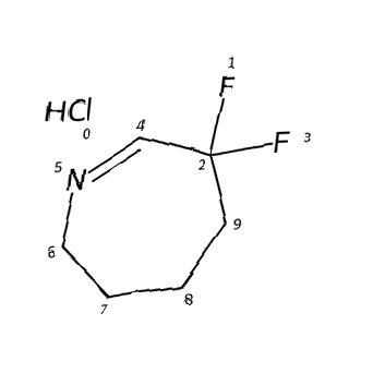 Cl.FC1(F)C=NCCCC1